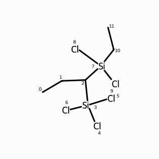 CCC([Si](Cl)(Cl)Cl)[Si](Cl)(Cl)CC